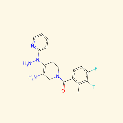 Cc1c(C(=O)N2CCC(N(N)c3ccccn3)=C(N)C2)ccc(F)c1F